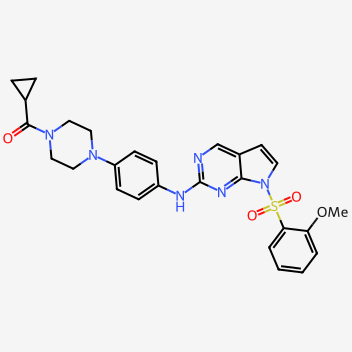 COc1ccccc1S(=O)(=O)n1ccc2cnc(Nc3ccc(N4CCN(C(=O)C5CC5)CC4)cc3)nc21